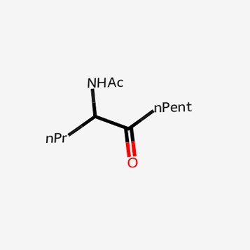 CCCCCC(=O)C(CCC)NC(C)=O